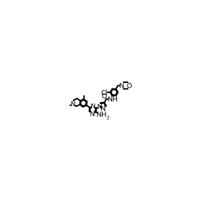 Cc1cc(-c2cnc(N)c(-n3cc(C(=O)Nc4ccc(CN5CCOCC5)cc4Cl)cn3)n2)cc2c1CCN(C)C2